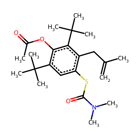 C=C(C)Cc1c(SC(=O)N(C)C)cc(C(C)(C)C)c(OC(C)=O)c1C(C)(C)C